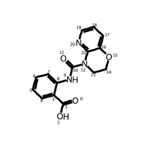 O=C(O)c1ccccc1NC(=O)N1CCOc2cccnc21